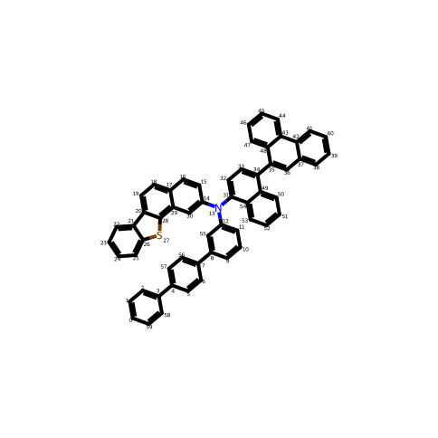 c1ccc(-c2ccc(-c3cccc(N(c4ccc5ccc6c7ccccc7sc6c5c4)c4ccc(-c5cc6ccccc6c6ccccc56)c5ccccc45)c3)cc2)cc1